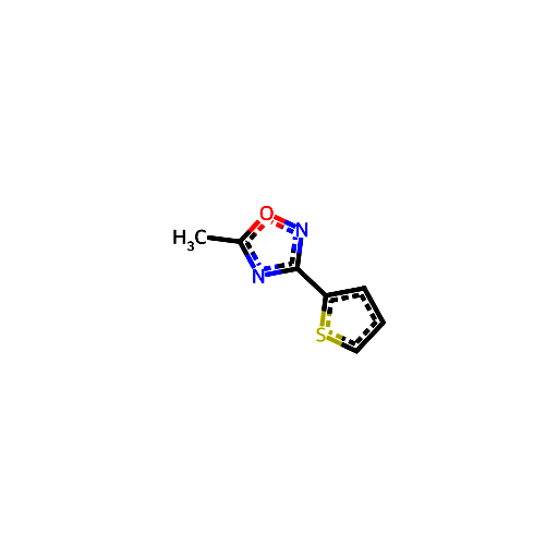 Cc1nc(-c2cccs2)no1